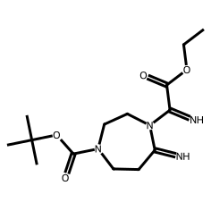 CCOC(=O)C(=N)N1CCN(C(=O)OC(C)(C)C)CCC1=N